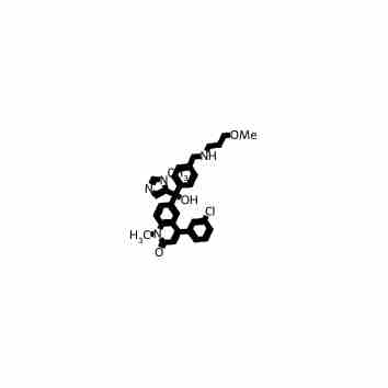 COCCCNCc1ccc(C(O)(c2ccc3c(c2)c(-c2cccc(Cl)c2)cc(=O)n3C)c2cncn2C)cc1